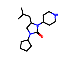 CC(C)CC1CN(C2CCCC2)C(=O)N1C1CCNCC1